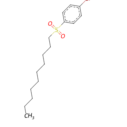 CCCCCCCCCCS(=O)(=O)c1ccc(Br)cc1